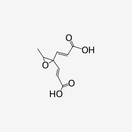 CC1OC1(C=CC(=O)O)C=CC(=O)O